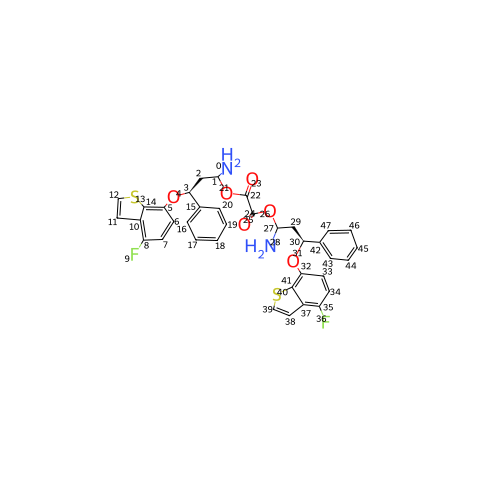 NC(C[C@H](Oc1ccc(F)c2ccsc12)c1ccccc1)OC(=O)C(=O)OC(N)C[C@H](Oc1ccc(F)c2ccsc12)c1ccccc1